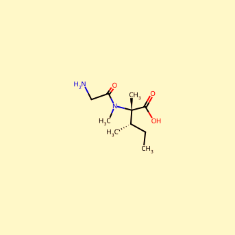 CC[C@H](C)[C@@](C)(C(=O)O)N(C)C(=O)CN